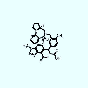 Cc1ccc(C(CC(=O)O)c2ccc3c(nnn3C)c2C(F)F)cc1CN1C[C@H]2CCCN2c2ncccc2S1(=O)=O